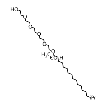 CC(=O)O.CC(C)CCCCCCCCCCCCCCCOCCOCCOCCOCCOCCO